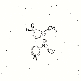 C[C@H]1CC(c2ccncc2[N+](=O)[O-])=C[C@@H]2OC21